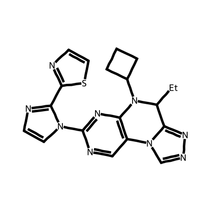 CCC1c2nncn2-c2cnc(-n3ccnc3-c3nccs3)nc2N1C1CCC1